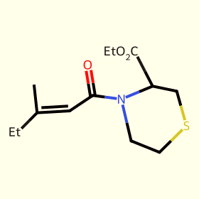 CCOC(=O)C1CSCCN1C(=O)/C=C(\C)CC